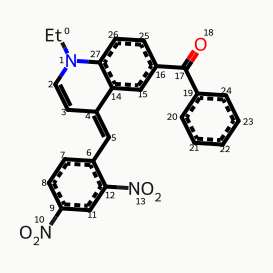 CCN1C=CC(=Cc2ccc([N+](=O)[O-])cc2[N+](=O)[O-])c2cc(C(=O)c3ccccc3)ccc21